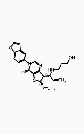 C=C/C(NCCCO)=C1\C(=N/C)Sc2c1ncn(-c1ccc3occc3c1)c2=O